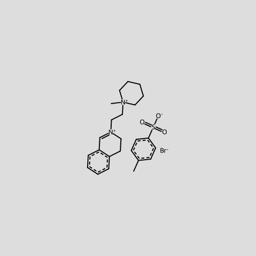 C[N+]1(CC[N+]2=Cc3ccccc3CC2)CCCCC1.Cc1ccc(S(=O)(=O)[O-])cc1.[Br-]